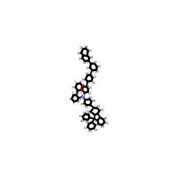 c1ccc(-c2ccccc2N(c2ccc(-c3ccc(-c4cccc(-c5ccc6ccccc6c5)c4)cc3)cc2)c2ccc(-c3ccc4c(c3)C(c3ccccc3)(c3ccccc3)c3ccccc3-4)cc2)cc1